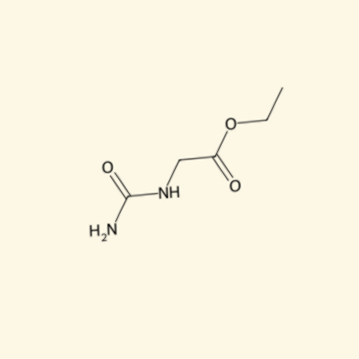 CCOC(=O)CNC(N)=O